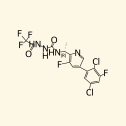 C[C@@H](NC(=O)NNC(=O)C(F)(F)F)c1ncc(-c2cc(Cl)cc(F)c2Cl)cc1F